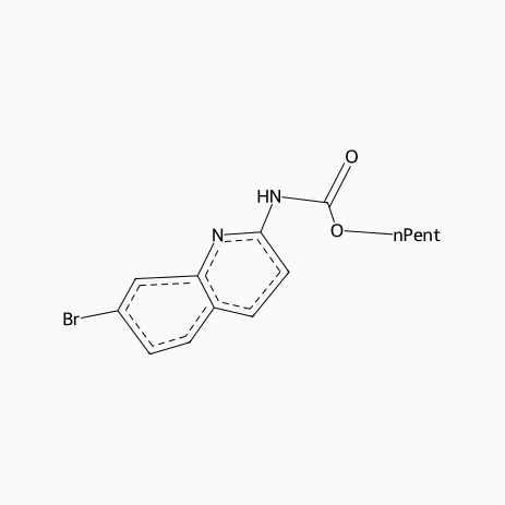 CCCCCOC(=O)Nc1ccc2ccc(Br)cc2n1